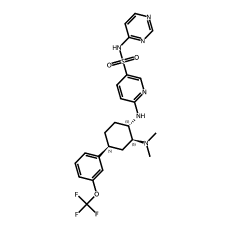 CN(C)[C@H]1C[C@@H](c2cccc(OC(F)(F)F)c2)CC[C@@H]1Nc1ccc(S(=O)(=O)Nc2ccncn2)cn1